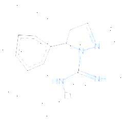 CCNC(=N)N1N=CCC1c1ccccc1